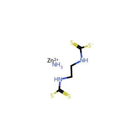 N.S=C([S-])NCCNC(=S)[S-].[Zn+2]